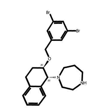 Brc1cc(Br)cc(CO[C@@H]2CCc3ccccc3[C@H]2N2CCCNCC2)c1